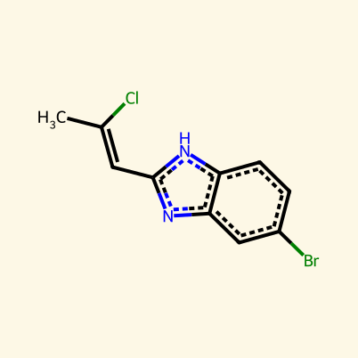 CC(Cl)=Cc1nc2cc(Br)ccc2[nH]1